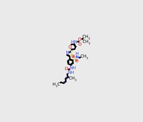 CC/C=C\C=C(/C)CNC(=O)Nc1ccc(-c2cnc([C@H]3CC=C(NC(=O)OC(C)C)CO3)s2)c(S(=O)(=O)NCC)c1